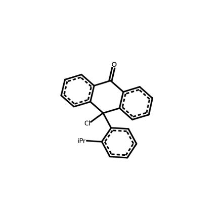 CC(C)c1ccccc1C1(Cl)c2ccccc2C(=O)c2ccccc21